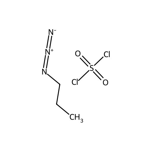 CCCN=[N+]=[N-].O=S(=O)(Cl)Cl